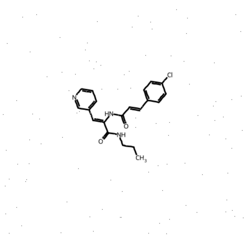 CCCNC(=O)/C(=C/c1cccnc1)NC(=O)/C=C/c1ccc(Cl)cc1